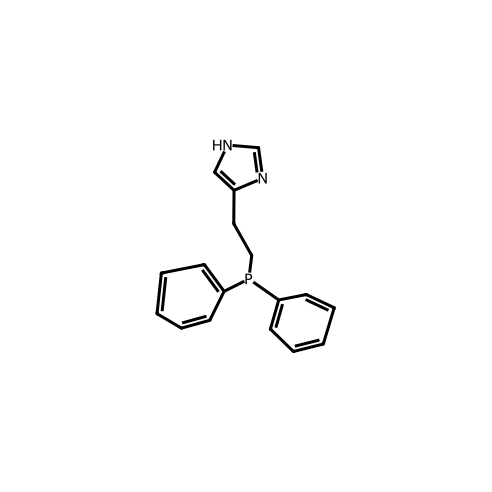 c1ccc(P(CCc2c[nH]cn2)c2ccccc2)cc1